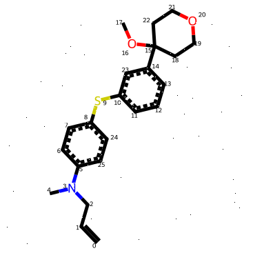 C=CCN(C)c1ccc(Sc2cccc(C3(OC)CCOCC3)c2)cc1